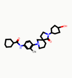 N#Cc1cc(NC(=O)C2CCCCC2)ccc1N1CCCC2(CCN(C3CCC(O)CC3)C2=O)C1